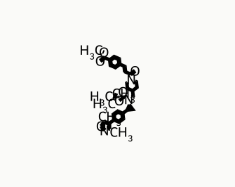 COC(=O)c1ccc(/C=C/C(=O)N2CCC(CN(C(=O)OC(C)(C)C)C3CC3c3ccc(-c4c(C)noc4C)cc3)CC2)cc1